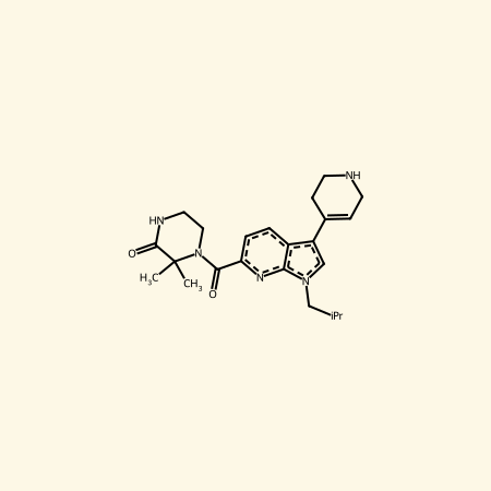 CC(C)Cn1cc(C2=CCNCC2)c2ccc(C(=O)N3CCNC(=O)C3(C)C)nc21